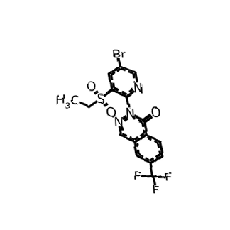 CCS(=O)(=O)c1cc(Br)cnc1-n1ncc2cc(C(F)(F)F)ccc2c1=O